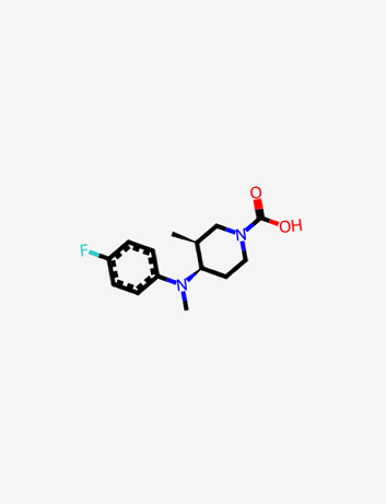 C[C@H]1CN(C(=O)O)CC[C@H]1N(C)c1ccc(F)cc1